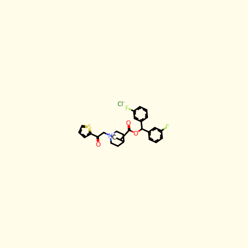 O=C(C[N+]12CCC(CC1)C(C(=O)OC(c1cccc(F)c1)c1cccc(F)c1)C2)c1cccs1.[Cl-]